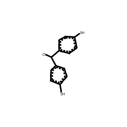 Sc1ccc(C(Cl)c2ccc(S)cc2)cc1